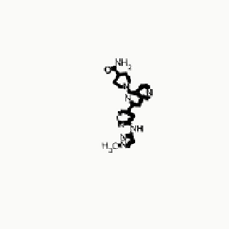 Cn1ccc(Nc2cc(-c3cc4cnccc4c(N4CCC(C(N)=O)CC4)n3)ccn2)n1